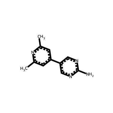 Cc1cc(-c2cnc(N)nc2)cc(C)n1